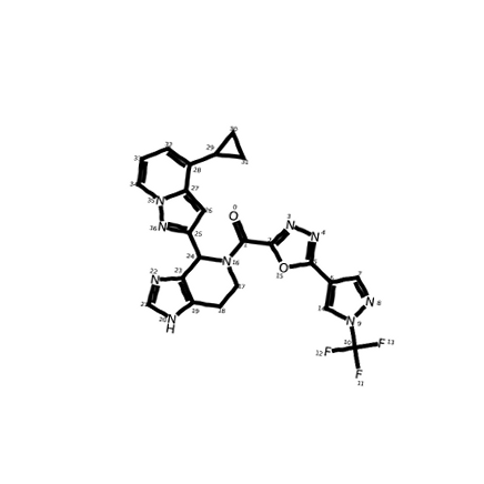 O=C(c1nnc(-c2cnn(C(F)(F)F)c2)o1)N1CCc2[nH]cnc2C1c1cc2c(C3CC3)cccn2n1